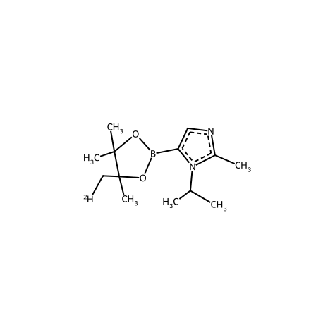 [2H]CC1(C)OB(c2cnc(C)n2C(C)C)OC1(C)C